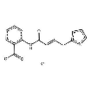 O=C(C=CCc1cccs1)Nc1ccccc1C(=O)[O-].[K+]